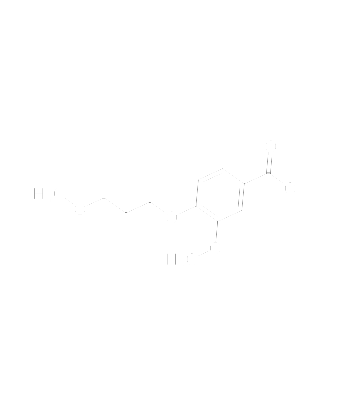 COCCCOc1ccc(C(=O)O)cc1OC